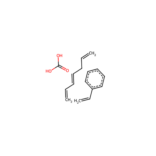 C=CC=CCC=C.C=Cc1ccccc1.O=C(O)O